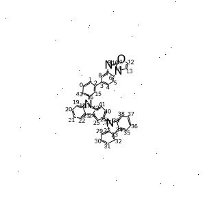 c1cc(-c2ccc3c(c2)nc2occn23)cc(-n2c3ccccc3c3cc(-n4c5ccccc5c5ccccc54)ccc32)c1